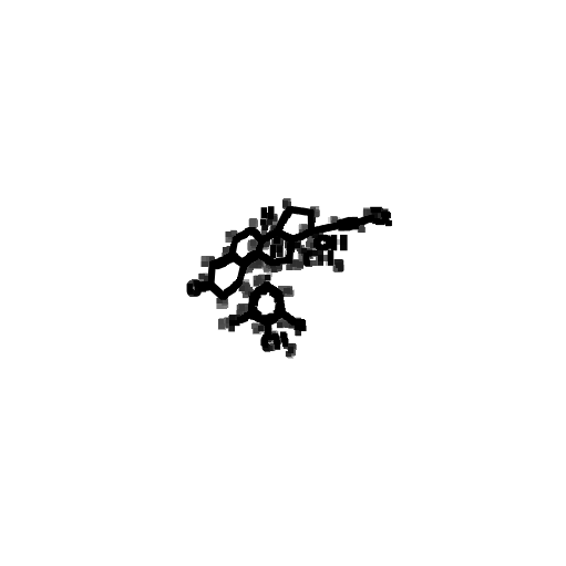 CCC#C[C@]1(O)CC[C@H]2[C@@H]3CCC4=CC(=O)CCC4=C3[C@@H](c3cc(F)c(C)c(F)c3)C[C@@]21C